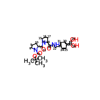 CC(C)(C)OC(=O)N1CCCC1C(=O)N1CCCC1C(=O)NCc1ccc(B(O)O)cc1